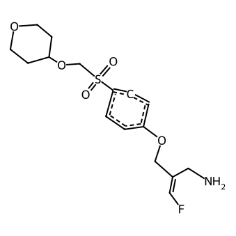 NC/C(=C\F)COc1ccc(S(=O)(=O)COC2CCOCC2)cc1